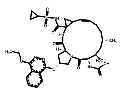 CCOc1nnc(O[C@@H]2C[C@H]3C(=O)NC4(C(=O)NS(=O)(=O)C5CC5)CC4/C=C\CC[C@H](C)C[C@@H](C)[C@H](NC(=O)O)C(=O)N3C2)c2ccccc12